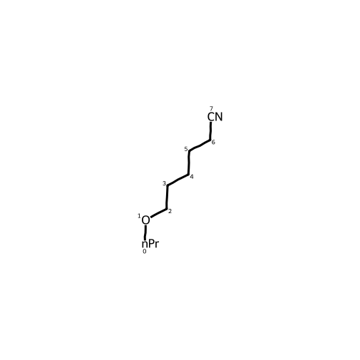 CCCOCCCCCC#N